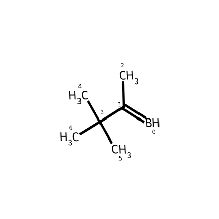 B=C(C)C(C)(C)C